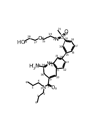 CCCN(CCC)C(=O)C1=Cc2ccc(-c3cccc(S(C)(=O)=NCCOCCO)c3)cc2N=C(N)C1